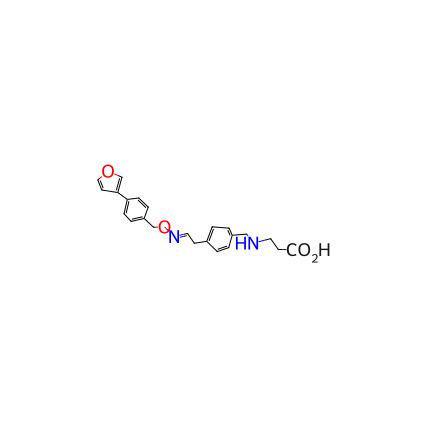 O=C(O)CCNCc1ccc(CC=NOCc2ccc(-c3ccoc3)cc2)cc1